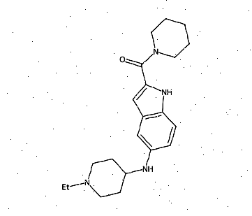 CCN1CCC(Nc2ccc3[nH]c(C(=O)N4CCCCC4)cc3c2)CC1